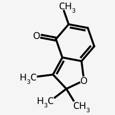 CC1=CC=C2OC(C)(C)C(C)=C2C1=O